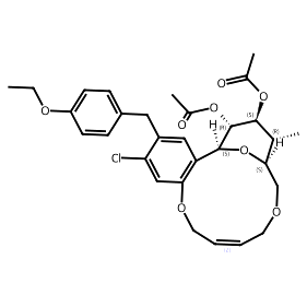 CCOc1ccc(Cc2cc3c(cc2Cl)OC/C=C\COC[C@H]2O[C@@H]3[C@H](OC(C)=O)[C@@H](OC(C)=O)[C@@H]2C)cc1